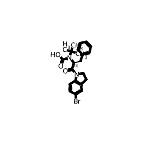 CC(C)(C)N(C(=O)O)[C@@H](Cc1ccccc1)C(=O)N1CCc2cc(Br)ccc21